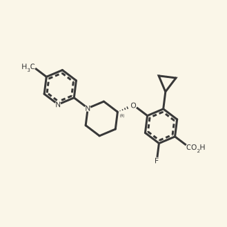 Cc1ccc(N2CCC[C@@H](Oc3cc(F)c(C(=O)O)cc3C3CC3)C2)nc1